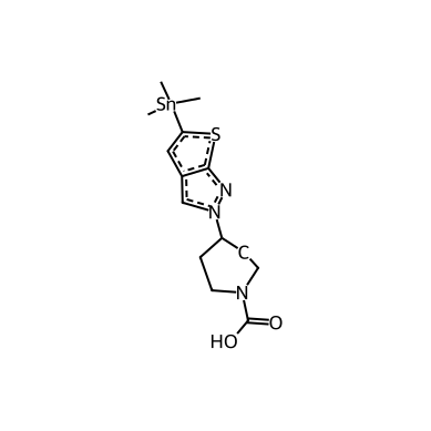 [CH3][Sn]([CH3])([CH3])[c]1cc2cn(C3CCN(C(=O)O)CC3)nc2s1